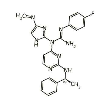 C=Nc1c[nH]c(N(C(N)=Nc2ccc(F)cc2)c2ccnc(N[C@@H](C)c3ccccc3)n2)n1